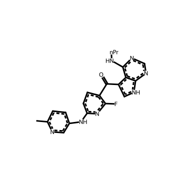 CCCNc1ncnc2[nH]cc(C(=O)c3ccc(Nc4ccc(C)nc4)nc3F)c12